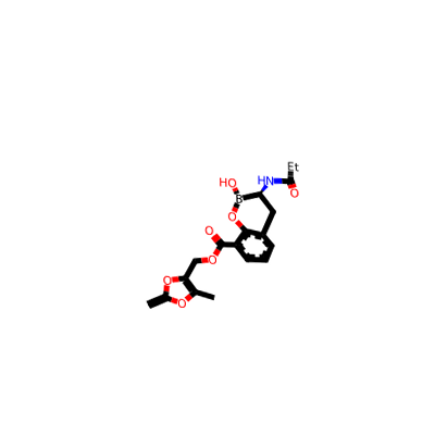 C=C1OC(C)=C(COC(=O)c2cccc3c2OB(O)[C@@H](NC(=O)CC)C3)O1